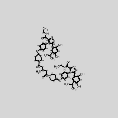 CCNC(=O)c1nnc(-c2cc(C(C)C)c(O)cc2O)n1-c1ccc(OC2CCN(C(=O)CC(N)CC(=O)N3CCC(Oc4ccc(-n5c(C(=O)NCC)nnc5-c5cc(C(C)C)c(O)cc5O)cc4)CC3)CC2)cc1